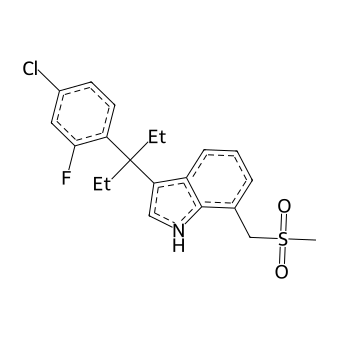 CCC(CC)(c1ccc(Cl)cc1F)c1c[nH]c2c(CS(C)(=O)=O)cccc12